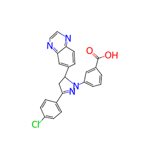 O=C(O)c1cccc(N2N=C(c3ccc(Cl)cc3)CC2c2ccc3nccnc3c2)c1